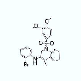 COc1ccc(S(=O)(=O)N2CC(Nc3ccccc3Br)=C(C)c3ccccc32)cc1OC